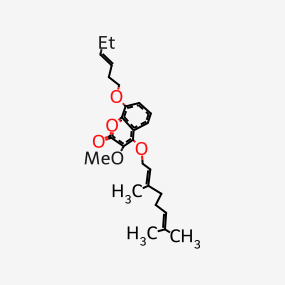 CCC=CCCOc1cccc2c(OC/C=C(\C)CCC=C(C)C)c(OC)c(=O)oc12